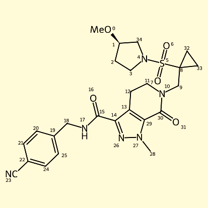 CO[C@@H]1CCN(S(=O)(=O)C2(CN3CCc4c(C(=O)NCc5ccc(C#N)cc5)nn(C)c4C3=O)CC2)C1